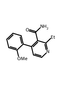 CCc1nccc(-c2ccccc2OC)c1C(N)=O